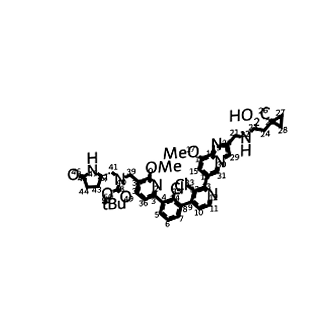 COc1nc(-c2cccc(-c3ccnc(-c4cc(OC)c5nc(CNCCC6(C(=O)O)CC6)cn5c4)c3Cl)c2Cl)ccc1CN(C[C@@H]1CCC(=O)N1)C(=O)OC(C)(C)C